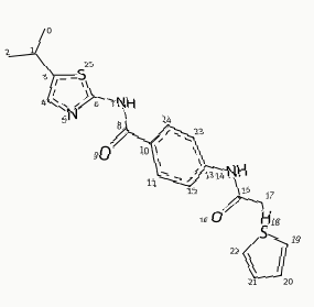 CC(C)c1cnc(NC(=O)c2ccc(NC(=O)C[SH]3C=CC=C3)cc2)s1